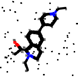 CC[n+]1ccc(-c2ccc3c(C(C)=O)[n+](CC)ccc3c2)cc1